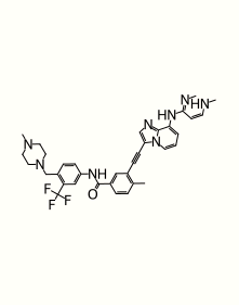 C/N=C(\C=C/NC)Nc1cccn2c(C#Cc3cc(C(=O)Nc4ccc(CN5CCN(C)CC5)c(C(F)(F)F)c4)ccc3C)cnc12